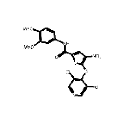 COc1ccc(NC(=O)c2cc([N+](=O)[O-])c(Sc3c(Cl)cncc3Cl)s2)cc1OC